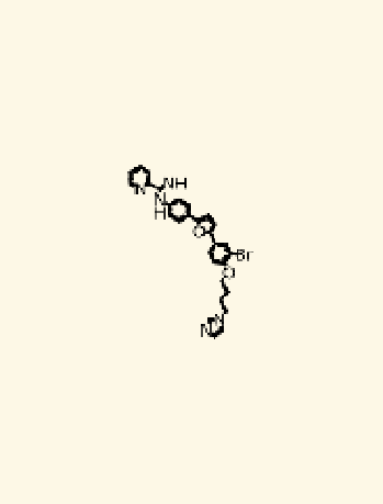 N=C(Nc1ccc(-c2ccc(-c3ccc(OCCCCn4ccnc4)c(Br)c3)o2)cc1)c1ccccn1